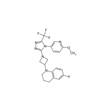 COc1ccc(-n2c(N3CC(N4CCCc5cc(F)ccc54)C3)nnc2C(F)(F)F)cn1